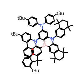 CC(C)(C)c1ccc(N(c2ccc(C(C)(C)C)cc2)c2cc3c4c(c2)N(c2ccc(C(C)(C)C)cc2-c2ccccc2)c2cc5c(cc2B4c2cc4c(cc2N3c2ccc3c(c2)C(C)(C)CCC3(C)C)C(C)(C)CCC4(C)C)C(C)(C)c2c-5cccc2C(C)(C)C)cc1